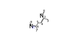 C=NC(C)=CC/C(C)=N\C